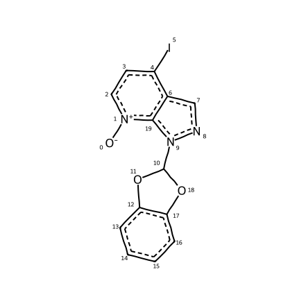 [O-][n+]1ccc(I)c2cnn(C3Oc4ccccc4O3)c21